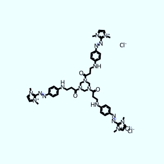 Cn1cc[n+](C)c1/N=N/c1ccc(NCCC(=O)N2CN(C(=O)CCNc3ccc(/N=N/c4n(C)cc[n+]4C)cc3)CN(C(=O)CCNc3ccc(/N=N/c4n(C)cc[n+]4C)cc3)C2)cc1.[Cl-].[Cl-].[Cl-]